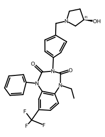 CCN1C(=O)N(c2ccc(CN3CC[C@@H](O)C3)cc2)C(=O)N(c2ccccc2)c2cc(C(F)(F)F)ccc21